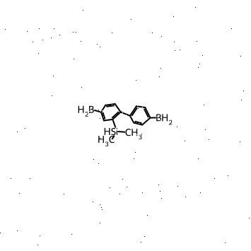 Bc1ccc(-c2ccc(B)cc2[SiH](C)C)cc1